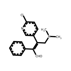 CN(C)CC(=C(C=O)c1ccccc1)c1ccc(Cl)nc1